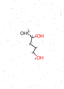 O=C[C@@H](O)CCCO